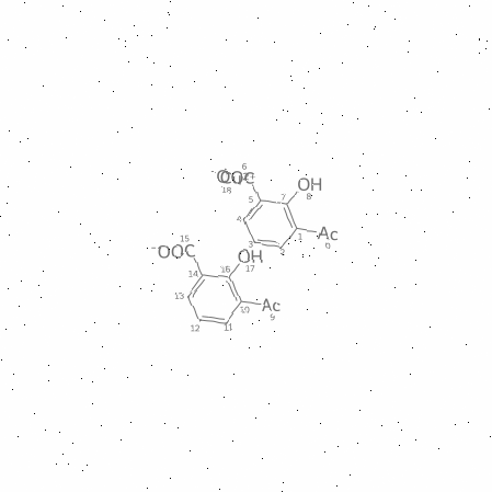 CC(=O)c1cccc(C(=O)[O-])c1O.CC(=O)c1cccc(C(=O)[O-])c1O.[Cu+2]